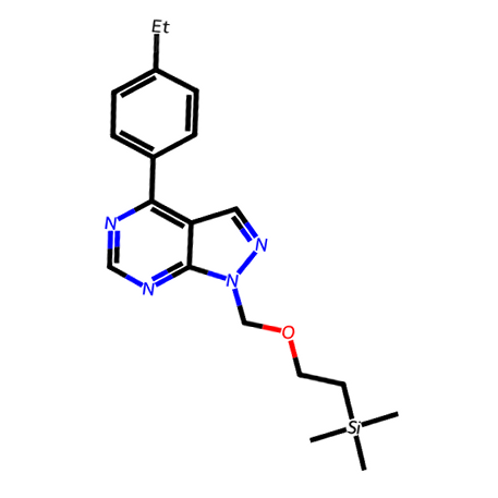 CCc1ccc(-c2ncnc3c2cnn3COCC[Si](C)(C)C)cc1